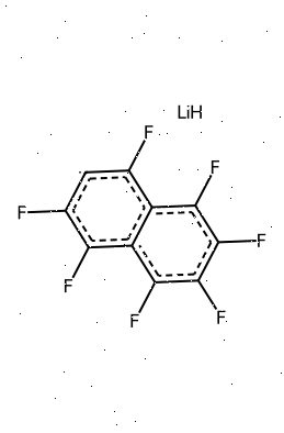 Fc1[c]c(F)c2c(F)c(F)c(F)c(F)c2c1F.[LiH]